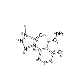 CCCOCc1c(CC)cccc1-n1nnn(C)c1=O